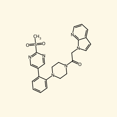 CS(=O)(=O)c1ncc(-c2ccccc2N2CCN(C(=O)Cn3ccc4cccnc43)CC2)cn1